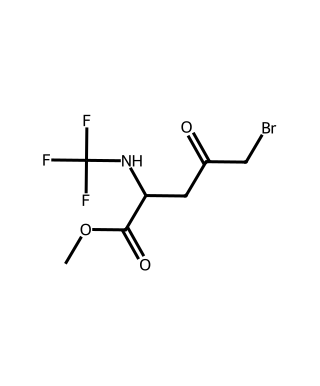 COC(=O)C(CC(=O)CBr)NC(F)(F)F